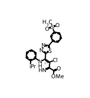 COC(=O)C(=N)/C(Cl)=C(\Nc1ccccc1C(C)C)c1nnc(-c2cccc(S(C)(=O)=O)c2)s1